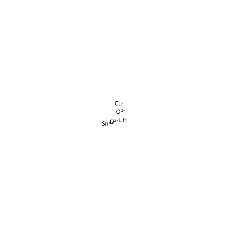 [Cu].[LiH].[O-2].[O-2].[Sn+4]